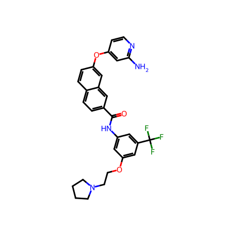 Nc1cc(Oc2ccc3ccc(C(=O)Nc4cc(OCCN5CCCC5)cc(C(F)(F)F)c4)cc3c2)ccn1